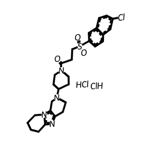 Cl.Cl.O=C(CCS(=O)(=O)c1ccc2cc(Cl)ccc2c1)N1CCC(N2CCc3nc4n(c3C2)CCCC4)CC1